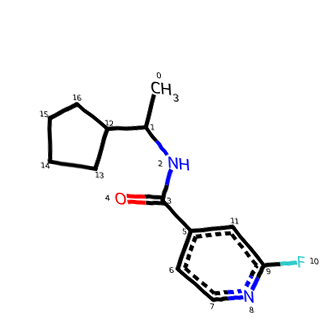 CC(NC(=O)c1ccnc(F)c1)C1CCCC1